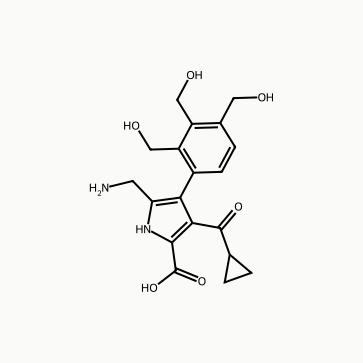 NCc1[nH]c(C(=O)O)c(C(=O)C2CC2)c1-c1ccc(CO)c(CO)c1CO